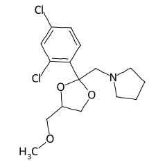 COCC1COC(CN2CCCC2)(c2ccc(Cl)cc2Cl)O1